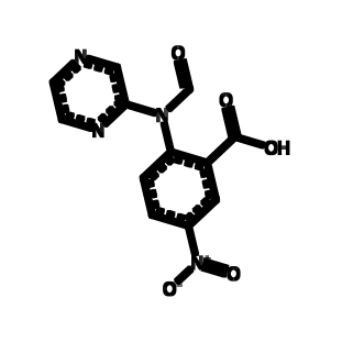 O=CN(c1cnccn1)c1ccc([N+](=O)[O-])cc1C(=O)O